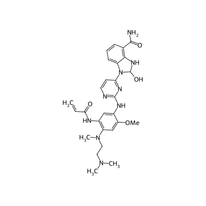 C=CC(=O)Nc1cc(Nc2nccc(N3c4cccc(C(N)=O)c4NC3O)n2)c(OC)cc1N(C)CCN(C)C